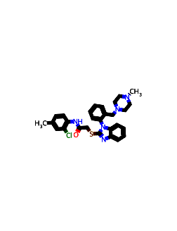 Cc1ccc(NC(=O)CSc2nc3ccccc3n2-c2ccccc2CN2CCN(C)CC2)c(Cl)c1